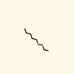 C[CH]SSCCCCC